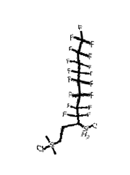 C[Si](C)(Cl)CCC([SiH2]Cl)C(F)(F)C(F)(F)C(F)(F)C(F)(F)C(F)(F)C(F)(F)C(F)(F)C(F)(F)F